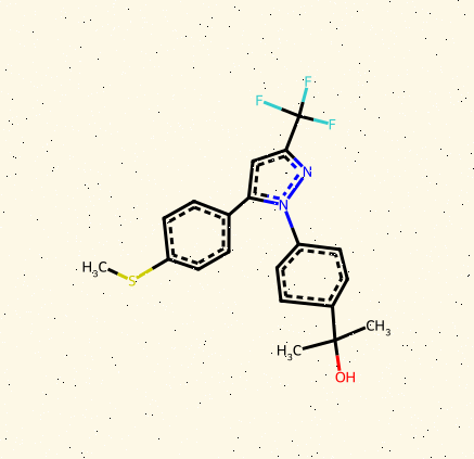 CSc1ccc(-c2cc(C(F)(F)F)nn2-c2ccc(C(C)(C)O)cc2)cc1